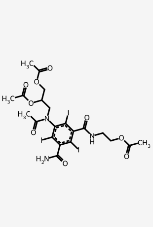 CC(=O)OCCNC(=O)c1c(I)c(C(N)=O)c(I)c(N(CC(COC(C)=O)OC(C)=O)C(C)=O)c1I